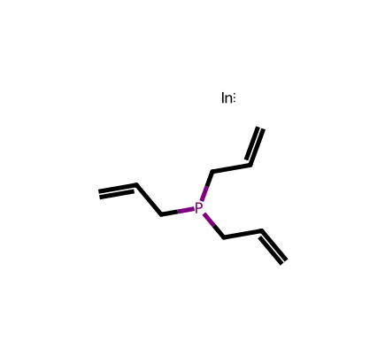 C=CCP(CC=C)CC=C.[In]